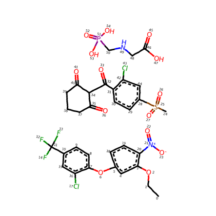 CCOc1cc(Oc2ccc(C(F)(F)F)cc2Cl)ccc1[N+](=O)[O-].CS(=O)(=O)c1ccc(C(=O)C2C(=O)CCCC2=O)c(Cl)c1.O=C(O)CNCP(=O)(O)O